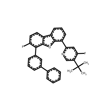 CC(C)(C)c1cnc(-c2cccc3c2oc2c(-c4cccc(-c5ccccc5)c4)c(F)ccc23)cc1F